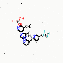 Cc1ccc[nH+]c1.Cc1cccnc1.Cc1cccnc1.Cc1cccnc1.F[B-](F)(F)F.OB(O)O